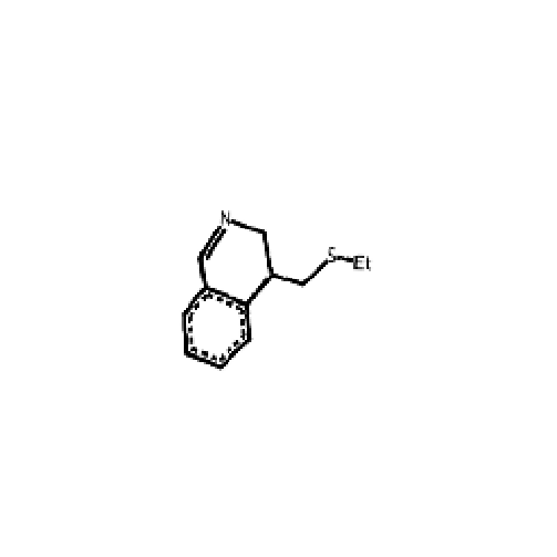 CCSCC1CN=Cc2ccccc21